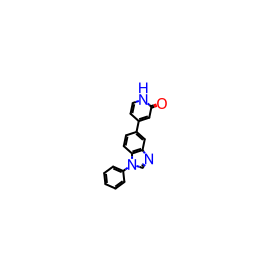 O=c1cc(-c2ccc3c(c2)ncn3-c2ccccc2)cc[nH]1